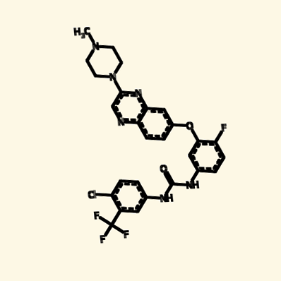 CN1CCN(c2cnc3ccc(Oc4cc(NC(=O)Nc5ccc(Cl)c(C(F)(F)F)c5)ccc4F)cc3n2)CC1